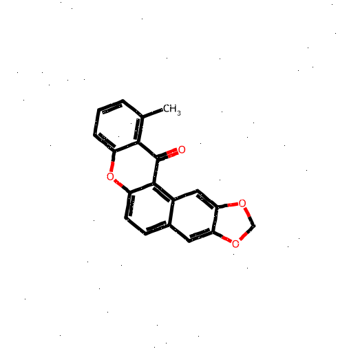 Cc1cccc2oc3ccc4cc5c(cc4c3c(=O)c12)OCO5